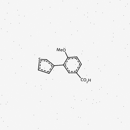 COc1ccc(C(=O)O)cc1-c1ccsc1